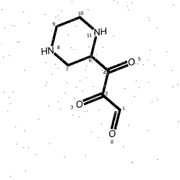 O=CC(=O)C(=O)C1CNCCN1